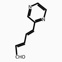 O=CC=CC=Cc1cnccn1